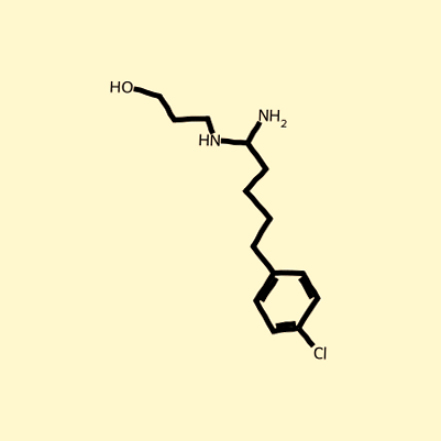 NC(CCCCc1ccc(Cl)cc1)NCCCO